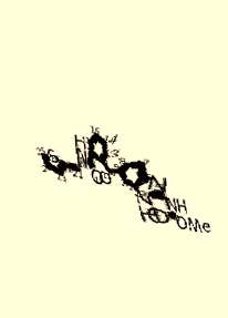 COC(=O)Nc1nc2ccc(C(=O)c3ccccc3C(=O)NCc3cccs3)cc2[nH]1